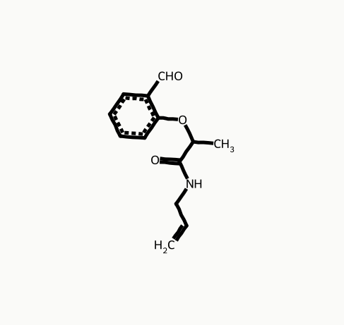 C=CCNC(=O)C(C)Oc1ccccc1C=O